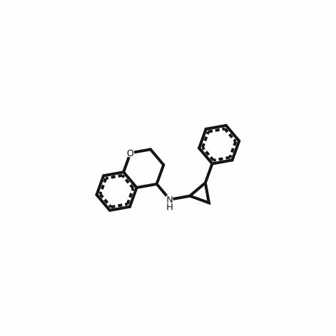 c1ccc(C2CC2NC2CCOc3ccccc32)cc1